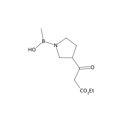 CCOC(=O)CC(=O)C1CCN(B(C)O)C1